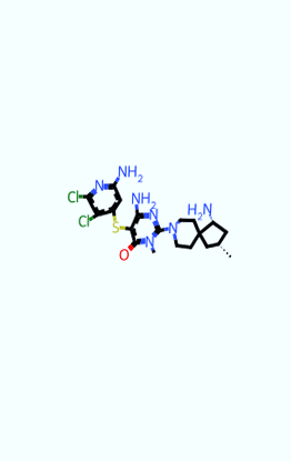 C[C@H]1C[C@@H](N)C2(CCN(c3nc(N)c(Sc4cc(N)nc(Cl)c4Cl)c(=O)n3C)CC2)C1